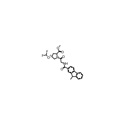 COC(=O)C1C[C@@H](OC(F)F)CN1C(=O)CNC(=O)c1ccc2c(c1)C(C)c1ccccc1-2